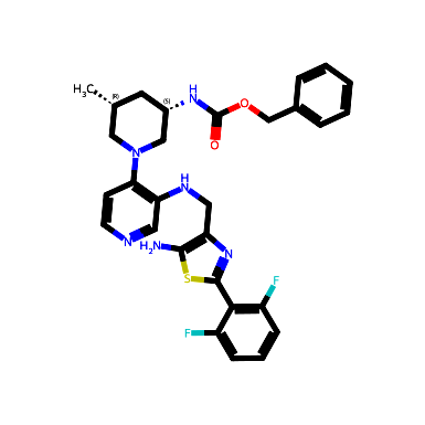 C[C@@H]1C[C@H](NC(=O)OCc2ccccc2)CN(c2ccncc2NCc2nc(-c3c(F)cccc3F)sc2N)C1